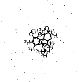 [2H]c1c([2H])c(OC)c2c3c1C[C@]1([2H])[C@@H]4CC([2H])([2H])C(=O)C([2H])(O2)[C@]34CCN1C([2H])([2H])[2H]